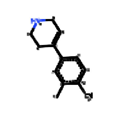 Cc1cc(C2=CCNCC2)ccc1C#N